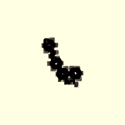 Nc1ccc(C2CCN(CCN3CCOCC3)CC2)cc1C1=CCCCC1